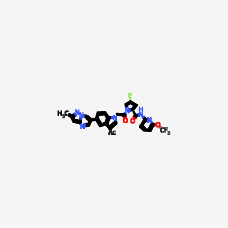 CC(=O)c1cn(CC(=O)N2C[C@H](F)C[C@H]2C(=O)Nc2cccc(OC(F)(F)F)n2)c2ccc(-c3cnc4cc(C)nn4c3)cc12